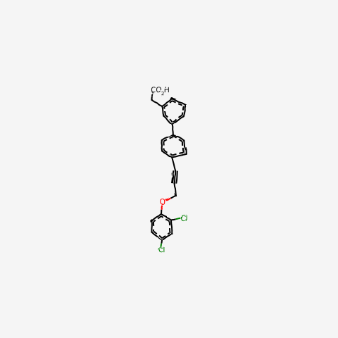 O=C(O)Cc1cccc(-c2ccc(C#CCOc3ccc(Cl)cc3Cl)cc2)c1